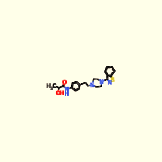 CC(O)C(=O)Nc1ccc(CCN2CCN(c3nsc4ccccc34)CC2)cc1